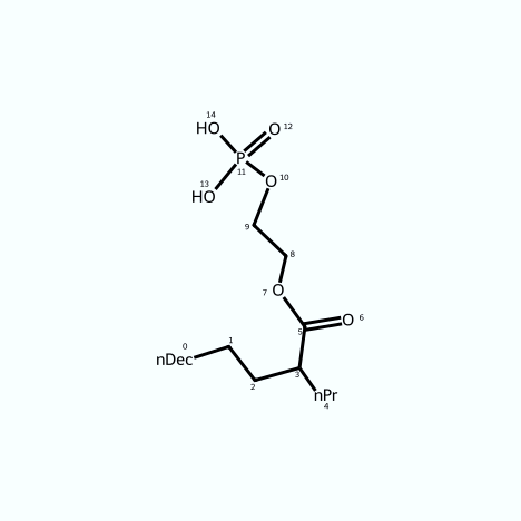 CCCCCCCCCCCCC(CCC)C(=O)OCCOP(=O)(O)O